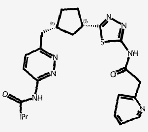 CC(C)C(=O)Nc1ccc(C[C@@H]2CC[C@H](c3nnc(NC(=O)Cc4ccccn4)s3)C2)nn1